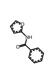 O=C(Nc1ccco1)c1ccccc1